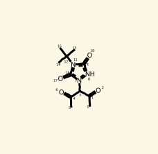 CC(=O)C(C(C)=O)n1[nH]c(=O)n(C(C)(C)C)c1=O